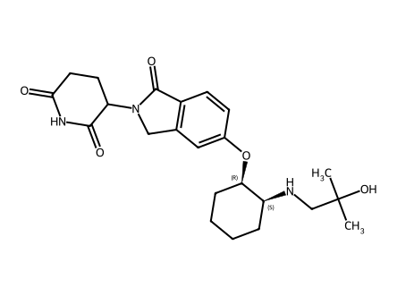 CC(C)(O)CN[C@H]1CCCC[C@H]1Oc1ccc2c(c1)CN(C1CCC(=O)NC1=O)C2=O